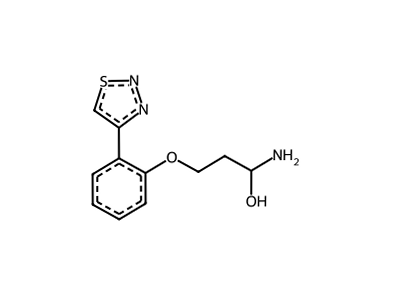 NC(O)CCOc1ccccc1-c1csnn1